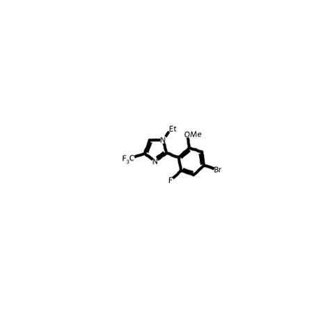 CCn1cc(C(F)(F)F)nc1-c1c(F)cc(Br)cc1OC